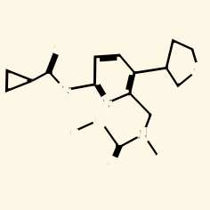 CN(Cc1nc(NC(=O)C2CC2)ccc1C1CCOC1)C(=O)OC(C)(C)C